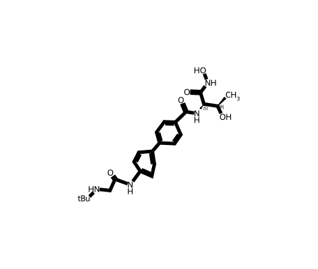 C[C@@H](O)[C@H](NC(=O)c1ccc(-c2ccc(NC(=O)CNC(C)(C)C)cc2)cc1)C(=O)NO